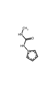 CNC(=O)Nn1cccc1